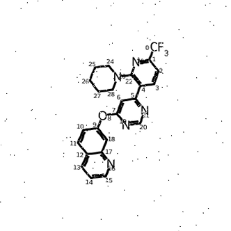 FC(F)(F)c1ccc(-c2cc(Oc3ccc4cccnc4c3)ncn2)c(N2CCCCC2)n1